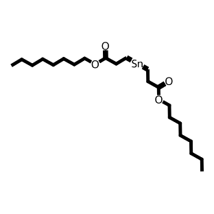 CCCCCCCCOC(=O)C[CH]=[Sn]=[CH]CC(=O)OCCCCCCCC